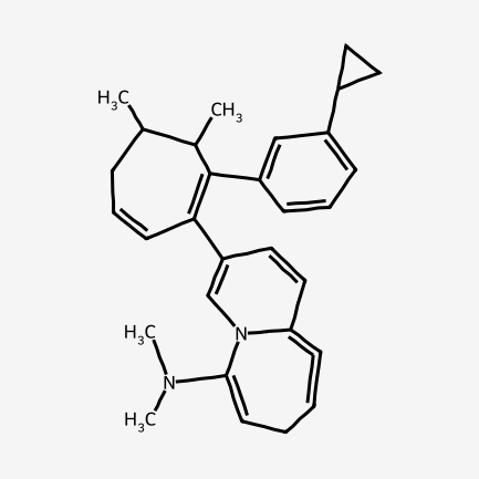 CC1CC=CC(C2=CN3C(=C=CCC=C3N(C)C)C=C2)=C(c2cccc(C3CC3)c2)C1C